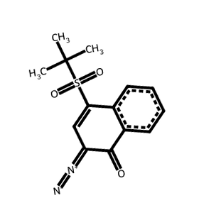 CC(C)(C)S(=O)(=O)C1=CC(=[N+]=[N-])C(=O)c2ccccc21